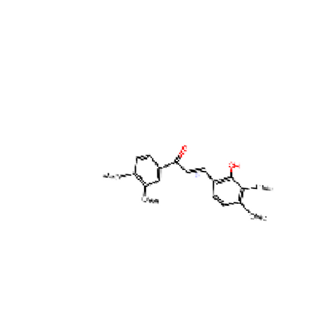 COc1ccc(C(=O)/C=C/c2ccc(OC)c(OC)c2O)cc1OC